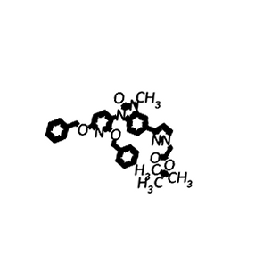 Cn1c(=O)n(-c2ccc(OCc3ccccc3)nc2OCc2ccccc2)c2ccc(-c3ccn(CC(=O)OC(C)(C)C)n3)cc21